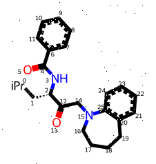 CC(C)C[C@H](NC(=O)c1ccccc1)C(=O)CN1CCCCc2ccccc21